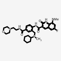 CNc1cc(F)cc2cc(C(=O)Nc3ccc(C(=O)NCCN4CCOCC4)cc3CN(C)C3CCCCC3)c(=O)[nH]c12